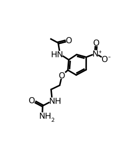 CC(=O)Nc1cc([N+](=O)[O-])ccc1OCCNC(N)=O